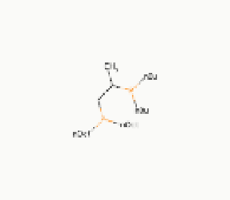 CCCCCCCCP(CCCCCCCC)CC(C)P(CCCC)CCCC